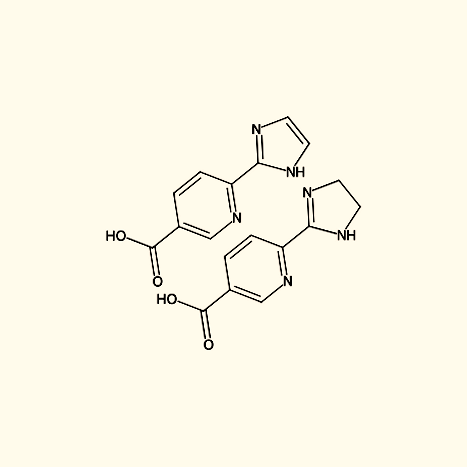 O=C(O)c1ccc(-c2ncc[nH]2)nc1.O=C(O)c1ccc(C2=NCCN2)nc1